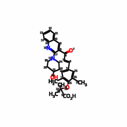 Cc1cc(C=CC(=O)c2cc3ccccc3nc2N2CCC(O)CC2)cc(C)c1OC(C)(C)C(=O)O